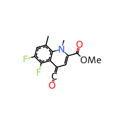 COC(=O)C1=CC(=C=O)c2c(F)c(F)cc(C)c2N1C